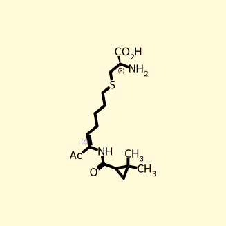 CC(=O)/C(=C/CCCCSC[C@H](N)C(=O)O)NC(=O)C1CC1(C)C